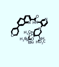 C[C@H]1CN(c2ccncc2NC(=O)c2ccc3ccc(C4=CCOCC4)cc3n2)C[C@@H](NC(=O)O)[C@@H]1O[Si](C)(C)C(C)(C)C